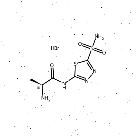 Br.C[C@H](N)C(=O)Nc1nnc(S(N)(=O)=O)s1